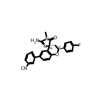 [C-]#[N+]c1cccc(-c2ccc3c(c2)[C@@]2(C[C@@H](c4ccc(F)cc4)O3)N=C(N)N(C)C2=O)c1